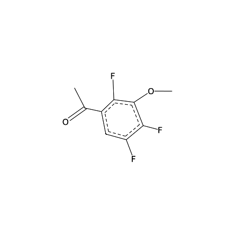 COc1c(F)c(F)cc(C(C)=O)c1F